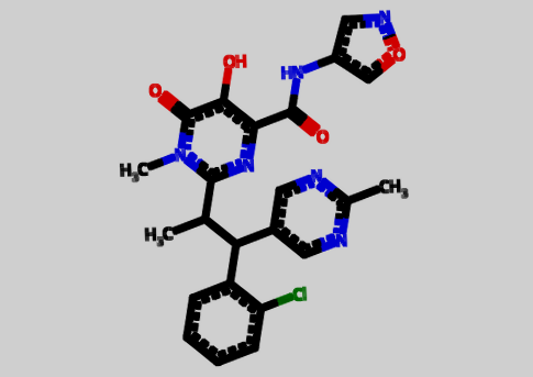 Cc1ncc(C(c2ccccc2Cl)C(C)c2nc(C(=O)Nc3cnoc3)c(O)c(=O)n2C)cn1